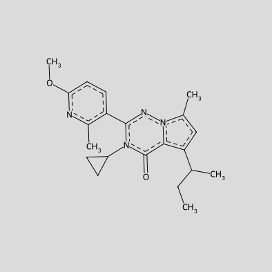 CCC(C)c1cc(C)n2nc(-c3ccc(OC)nc3C)n(C3CC3)c(=O)c12